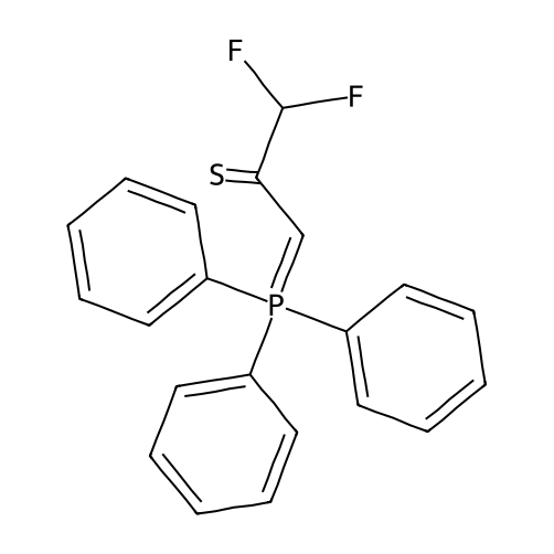 FC(F)C(=S)C=P(c1ccccc1)(c1ccccc1)c1ccccc1